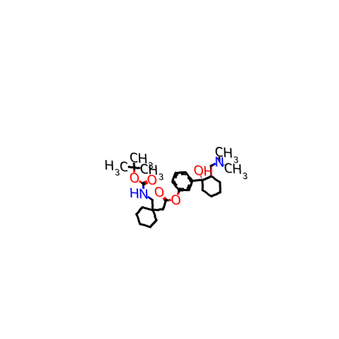 CN(C)C[C@H]1CCCC[C@@]1(O)c1cccc(OC(=O)CC2(CNC(=O)OC(C)(C)C)CCCCC2)c1